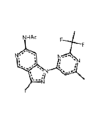 CC(=O)Nc1cc2c(cn1)c(I)nn2-c1cc(C)nc(C(C)(F)F)n1